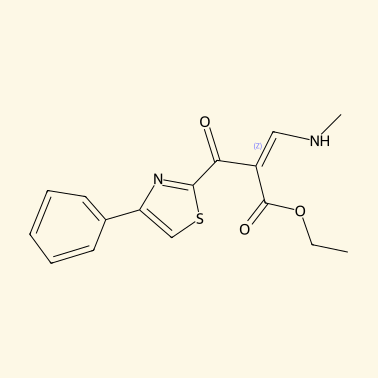 CCOC(=O)/C(=C\NC)C(=O)c1nc(-c2ccccc2)cs1